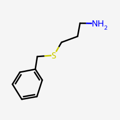 NCCCSCc1ccccc1